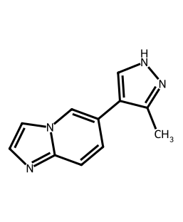 Cc1n[nH]cc1-c1ccc2nccn2c1